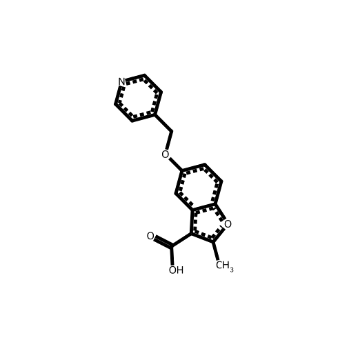 Cc1oc2ccc(OCc3ccncc3)cc2c1C(=O)O